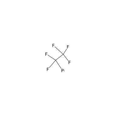 FC(F)(F)C(F)(F)[P]